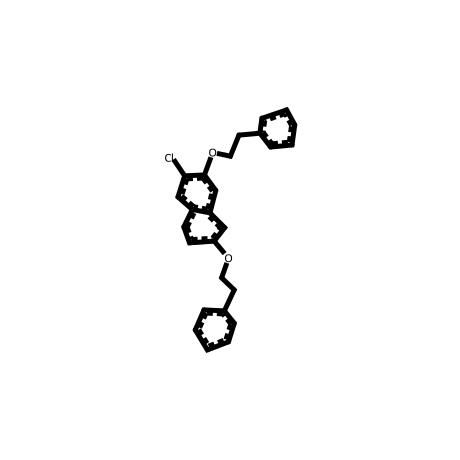 Clc1cc2ccc(OCCc3ccccc3)cc2cc1OCCc1ccccc1